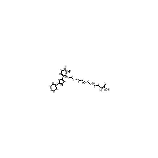 O=C(O)NCCOCCOCCOCCOc1c(-c2csc(N3CCOCC3)n2)ccc(F)c1F